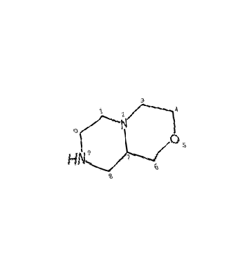 C1CN2CCOCC2CN1